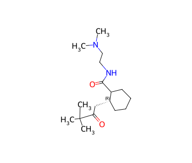 CN(C)CCNC(=O)C1CCCC[C@@H]1CC(=O)C(C)(C)C